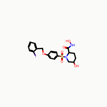 O=C(NO)C1CCC(O)CN1S(=O)(=O)c1ccc(OCc2ccccc2I)cc1